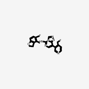 FCc1ccncc1-c1cnc(NCc2c(F)ccc3c2CCO3)n2cnnc12